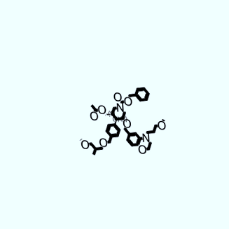 COCCCN1CCOc2ccc(CO[C@H]3CN(C(=O)OCc4ccccc4)C[C@@H](COC(C)=O)[C@@H]3c3ccc(COCC(C)COC)cc3)cc21